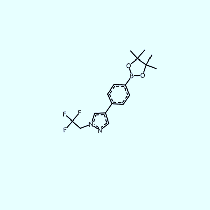 CC1(C)OB(c2ccc(-c3cnn(CC(F)(F)F)c3)cc2)OC1(C)C